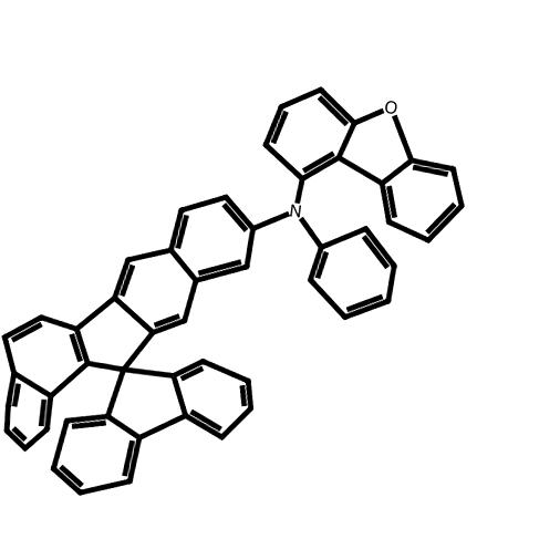 c1ccc(N(c2ccc3cc4c(cc3c2)C2(c3ccccc3-c3ccccc32)c2c-4ccc3ccccc23)c2cccc3oc4ccccc4c23)cc1